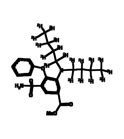 [2H]C([2H])([2H])C([2H])([2H])C([2H])([2H])C([2H])([2H])N(c1cc(C(=O)OC)cc(S(N)(=O)=O)c1Oc1ccccc1)C([2H])([2H])C([2H])([2H])C([2H])([2H])C([2H])([2H])[2H]